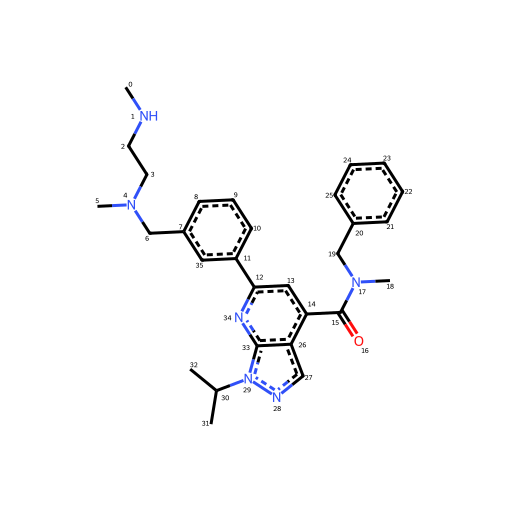 CNCCN(C)Cc1cccc(-c2cc(C(=O)N(C)Cc3ccccc3)c3cnn(C(C)C)c3n2)c1